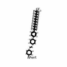 CCCCC[C@H]1CC[C@H](CC[C@H]2CC[C@H](c3ccc(C(F)(F)C(F)(F)C(F)(F)C(F)(F)C(F)(F)C(F)(F)C(F)(F)C(F)(F)C(F)(F)F)cc3)CC2)CC1